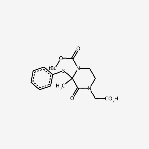 CC(C)(C)OC(=O)N1CCN(CC(=O)O)C(=O)C1(C)Sc1ccccc1